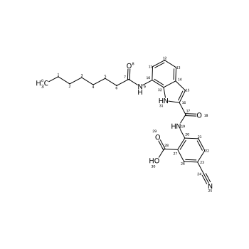 CCCCCCCC(=O)Nc1cccc2cc(C(=O)Nc3ccc(C#N)cc3C(=O)O)[nH]c12